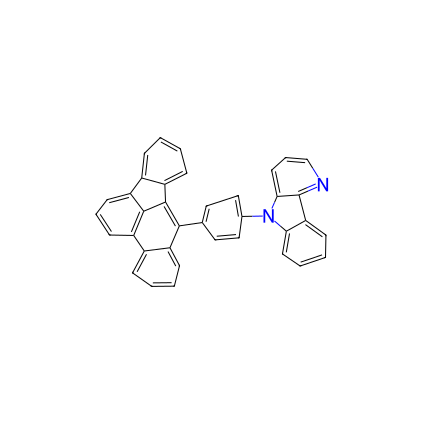 c1ccc2c(c1)-c1cccc3c1c-2c(-c1ccc(-n2c4ccccc4c4ncccc42)cc1)c1ccccc13